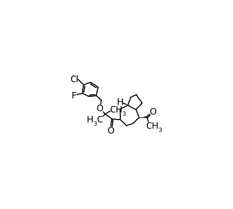 CC(=O)[C@H]1CCC(C(=O)C(C)(C)OCc2ccc(Cl)c(F)c2)C[C@@H]2CCCC21